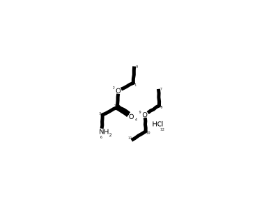 CCOC(=O)CN.CCOCC.Cl